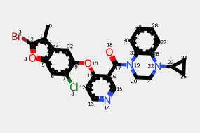 Cc1c(Br)oc2cc(Cl)c(Oc3ccncc3C(=O)N3CCN(C4CC4)c4ccccc43)cc12